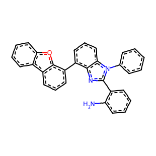 Nc1ccccc1-c1nc2c(-c3cccc4c3oc3ccccc34)cccc2n1-c1ccccc1